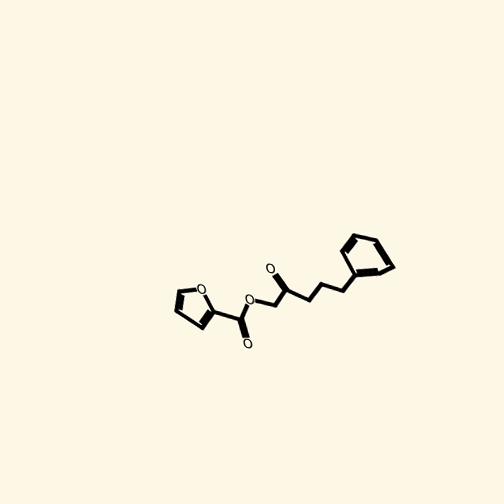 O=C(CCCc1ccccc1)COC(=O)c1ccco1